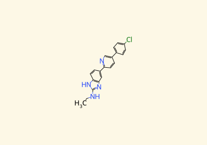 CCNc1nc2cc(-c3ccc(-c4ccc(Cl)cc4)cn3)ccc2[nH]1